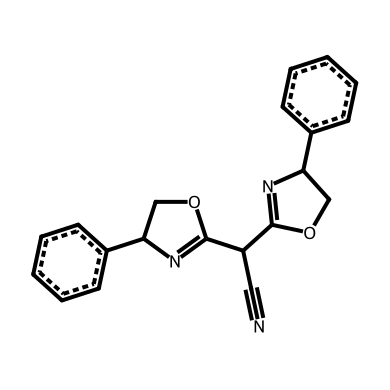 N#CC(C1=NC(c2ccccc2)CO1)C1=NC(c2ccccc2)CO1